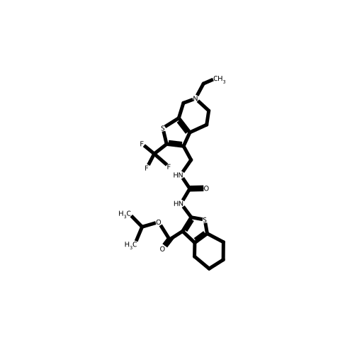 CCN1CCc2c(sc(C(F)(F)F)c2CNC(=O)Nc2sc3c(c2C(=O)OC(C)C)CCCC3)C1